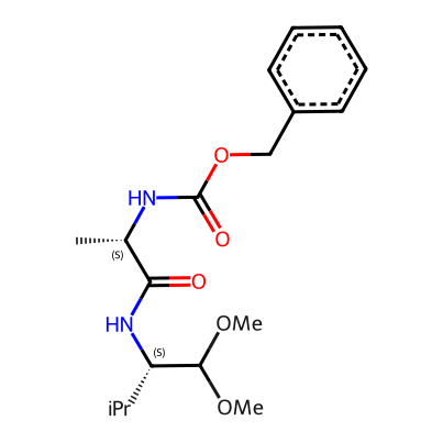 COC(OC)[C@@H](NC(=O)[C@H](C)NC(=O)OCc1ccccc1)C(C)C